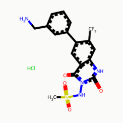 CS(=O)(=O)Nn1c(=O)[nH]c2cc(C(F)(F)F)c(-c3cccc(CN)c3)cc2c1=O.Cl